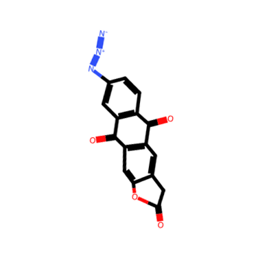 [N-]=[N+]=Nc1ccc2c(c1)C(=O)c1cc3c(cc1C2=O)CC(=O)O3